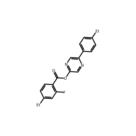 CCc1ccc(-c2cnc(OC(=O)c3ccc(CC)cc3F)cn2)cc1